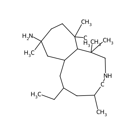 CCC1CC(C)CNCC(C)(C)C2C(C1)CC(C)(N)CCC2(C)C